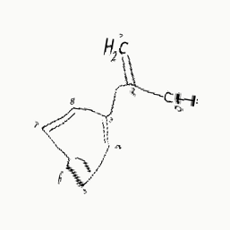 [CH]C(=C)c1ccccc1